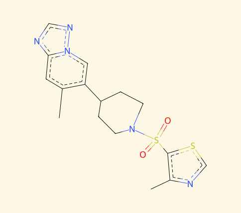 Cc1cc2ncnn2cc1C1CCN(S(=O)(=O)c2scnc2C)CC1